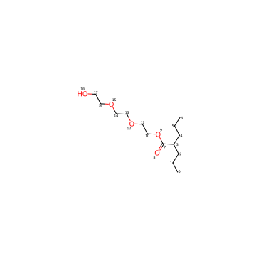 CCCC(CCC)C(=O)OCCOCCOCCO